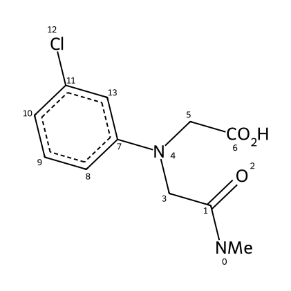 CNC(=O)CN(CC(=O)O)c1cccc(Cl)c1